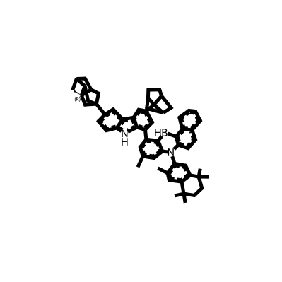 Cc1cc(-c2cc(C34C5CCC3CC4C5)cc3c2[nH]c2ccc(C45CC6CC7C[C@]6(C4)C7C5)cc23)c2c(c1)N(c1cc3c(cc1C)C(C)(C)CCC3(C)C)c1ccc3ccccc3c1B2